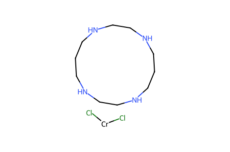 C1CNCCNCCCNCCNC1.[Cl][Cr][Cl]